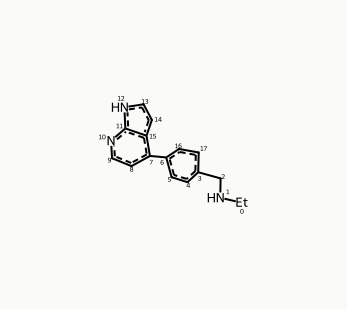 CCNCc1ccc(-c2ccnc3[nH]ccc23)cc1